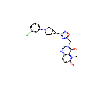 Cn1c(=O)ccc2ncn(Cc3nc(C4C5CN(c6cccc(Cl)c6)CC54)no3)c(=O)c21